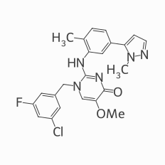 COc1cn(Cc2cc(F)cc(Cl)c2)c(Nc2cc(-c3ccnn3C)ccc2C)nc1=O